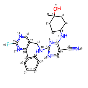 CC1(O)CCC(Nc2nc(NCc3cnc(F)nc3-c3ccccc3)ncc2C#N)CC1